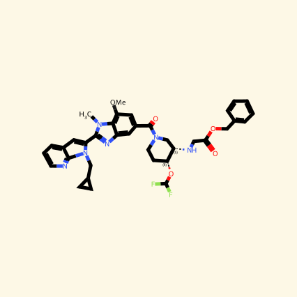 COc1cc(C(=O)N2CC[C@@H](OC(F)F)[C@@H](NCC(=O)OCc3ccccc3)C2)cc2nc(-c3cc4cccnc4n3CC3CC3)n(C)c12